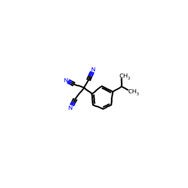 CC(C)c1cccc(C(C#N)(C#N)C#N)c1